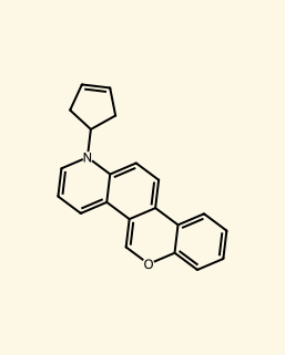 C1=CN(C2CC=CC2)c2ccc3c(c2=C1)=COc1ccccc1-3